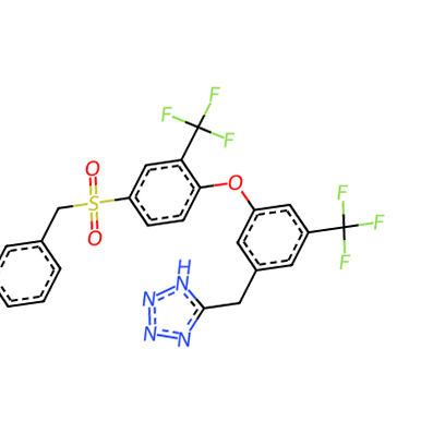 O=S(=O)(Cc1ccccc1)c1ccc(Oc2cc(Cc3nnn[nH]3)cc(C(F)(F)F)c2)c(C(F)(F)F)c1